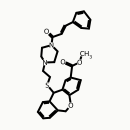 COC(=O)c1ccc2c(c1)C(SCCN1CCN(C(=O)C=Cc3ccccc3)CC1)c1ccccc1CO2